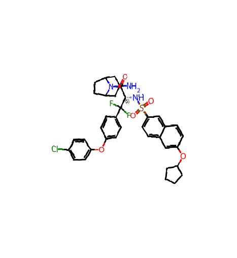 NC1CC2CCC(C1)N2C(=O)[C@H](NS(=O)(=O)c1ccc2cc(OC3CCCC3)ccc2c1)C(F)(F)c1ccc(Oc2ccc(Cl)cc2)cc1